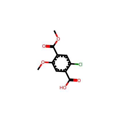 COC(=O)c1cc(Cl)c(C(=O)O)cc1OC